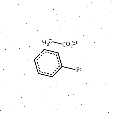 CC(C)c1ccccc1.CCOC(C)=O